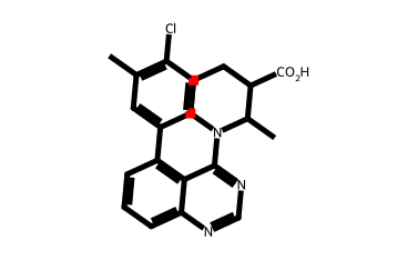 Cc1cc(-c2cccc3ncnc(N4CCCC(C(=O)O)C4C)c23)ccc1Cl